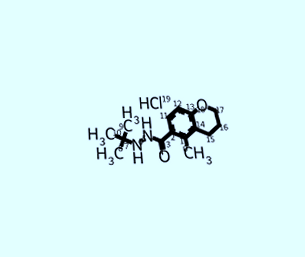 Cc1c(C(=O)NNC(C)(C)C)ccc2c1CCCO2.Cl